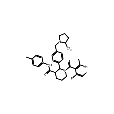 C/C=C(F)\C(C(=O)N1CCCC(C(=O)Nc2ccc(C)cc2)C1c1ccc(CN2CCCC2C(F)(F)F)cc1)=C(\C)CC